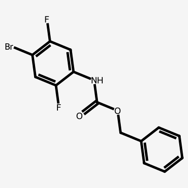 O=C(Nc1cc(F)c(Br)cc1F)OCc1ccccc1